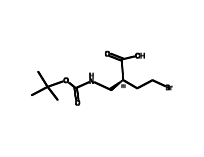 CC(C)(C)OC(=O)NC[C@H](CCBr)C(=O)O